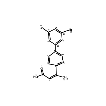 C/C(=C/C(=O)O)c1ccc(-c2cc(Br)cc(Br)c2)cc1